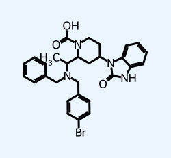 CC(C1CC(n2c(=O)[nH]c3ccccc32)CCN1C(=O)O)N(Cc1ccccc1)Cc1ccc(Br)cc1